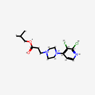 CC(C)COC(=O)CCN1CCN(c2ccnc(Cl)c2F)CC1